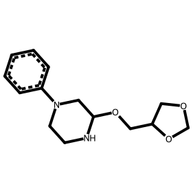 c1ccc(N2CCNC(OCC3COCO3)C2)cc1